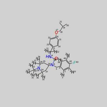 [2H]c1c([2H])c(CN(C(=O)NC([2H])([2H])c2ccc(OCC(C)C)cc2)C2CC([2H])([2H])N(C([2H])([2H])[2H])C([2H])([2H])C2)c([2H])c([2H])c1F